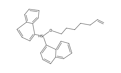 C=CCCCCCO[SiH](c1cccc2ccccc12)c1cccc2ccccc12